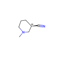 CN1CCC[C@@H](C#N)C1